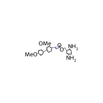 COc1ccc(-c2ccc(/C=C/C(=O)OCc3cc(N)ccc3N)c(OC)c2)cc1